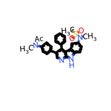 CC(=O)N(C)c1ccc(-c2cnc3[nH]c4ccc(N(C)S(C)(=O)=O)cc4c3c2-c2ccccc2)cc1